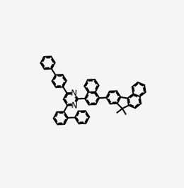 CC1(C)c2cc(-c3ccc(-c4nc(-c5ccc(-c6ccccc6)cc5)cc(-c5ccccc5-c5ccccc5)n4)c4ccccc34)ccc2-c2c1ccc1ccccc21